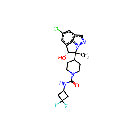 CC1(C2CCN(C(=O)NC3CC(F)(F)C3)CC2)[C@H](O)c2cc(Cl)cc3cnn1c23